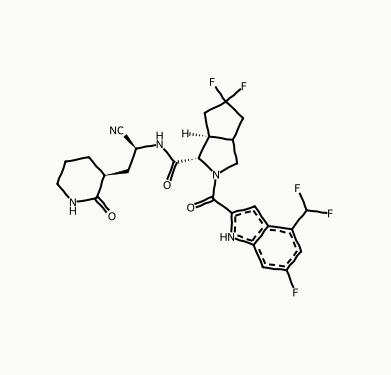 N#C[C@H](C[C@@H]1CCCNC1=O)NC(=O)[C@@H]1[C@H]2CC(F)(F)CC2CN1C(=O)c1cc2c(C(F)F)cc(F)cc2[nH]1